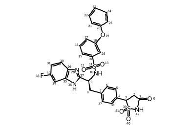 O=C1CC(c2ccc(C[C@H](NS(=O)(=O)c3cccc(Oc4ccccc4)c3)c3nc4ccc(F)cc4[nH]3)cc2)S(=O)(=O)N1